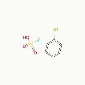 O=S(=O)(O)F.Sc1ccccc1